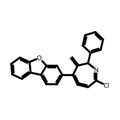 C=C1C(c2ccc3c(c2)oc2ccccc23)=C=CC(Cl)=NC1c1ccccc1